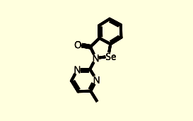 Cc1ccnc(-n2[se]c3ccccc3c2=O)n1